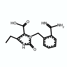 CCc1[nH]c(=O)n(Cc2ccccc2C(=N)N)c1C(=O)O